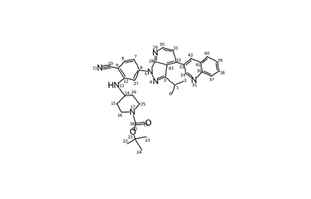 CC(C)c1nn(-c2ccc(C#N)c(NC3CCN(C(=O)OC(C)(C)C)CC3)c2)c2nccc(-c3cnc4ccccc4c3)c12